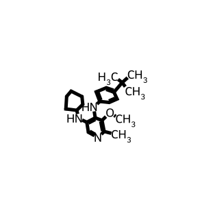 COc1c(C)ncc(NC2CCCCC2)c1Nc1ccc(C(C)(C)C)cc1